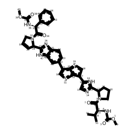 COC(=O)N[C@H](C(=O)N1CCCC1c1ncc(-c2csc3c(-c4ccc5nc(C6C=CCN6C(=O)[C@H](NC(=O)OC)c6ccccc6)[nH]c5c4)csc23)[nH]1)C(C)C